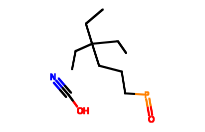 CCC(CC)(CC)CCCP=O.N#CO